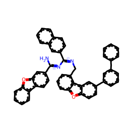 N/C(=N\C(=N/Cc1cccc2oc3ccc(-c4cccc(-c5ccccc5)c4)cc3c12)c1ccc2ccccc2c1)c1ccc2c(c1)oc1ccccc12